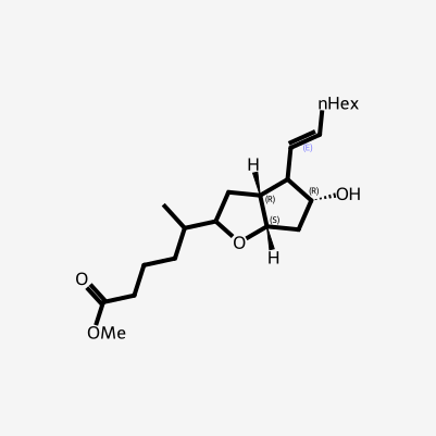 CCCCCC/C=C/C1[C@H](O)C[C@@H]2OC(C(C)CCCC(=O)OC)C[C@H]12